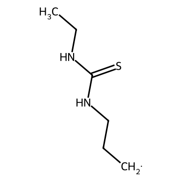 [CH2]CCNC(=S)NCC